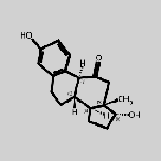 C[C@]12CC(=O)[C@@H]3c4ccc(O)cc4CC[C@H]3[C@@H]1CC[C@H]2O